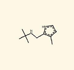 Cc1cc[nH]c1CNC(C)(C)C